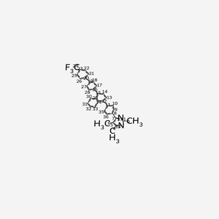 Cc1nc(C)c(C)c(-c2ccc(-c3ccc(-c4ccc(-c5ccc(C(F)(F)F)cc5)cc4)c4ccccc34)cc2)n1